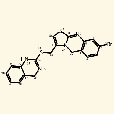 Brc1ccc2c(c1)N=C1SC=C(CSC3=NCc4ccccc4N3)N1C2